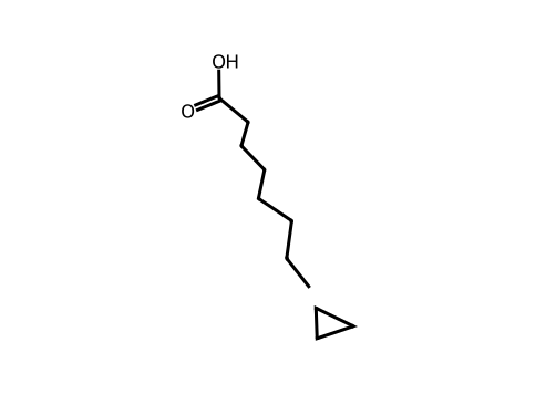 C1CC1.CCCCCCCC(=O)O